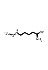 CC(=O)C(N)CCCCNOC(C)(C)C